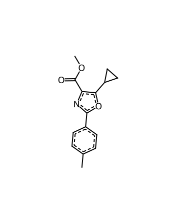 COC(=O)c1nc(-c2ccc(C)cc2)oc1C1CC1